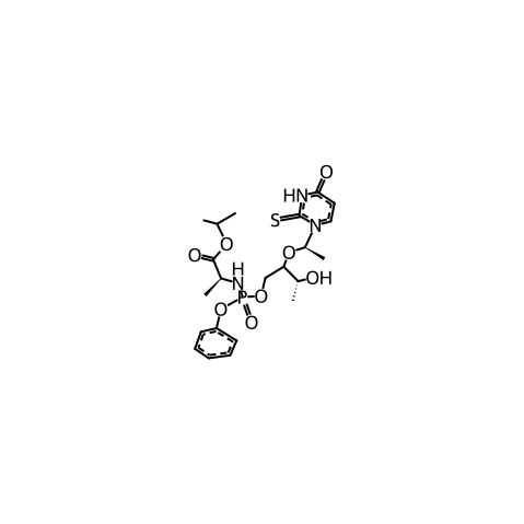 CC(C)OC(=O)[C@H](C)NP(=O)(OCC(O[C@H](C)n1ccc(=O)[nH]c1=S)[C@@H](C)O)Oc1ccccc1